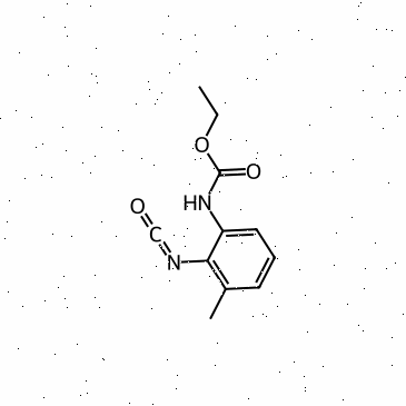 CCOC(=O)Nc1cccc(C)c1N=C=O